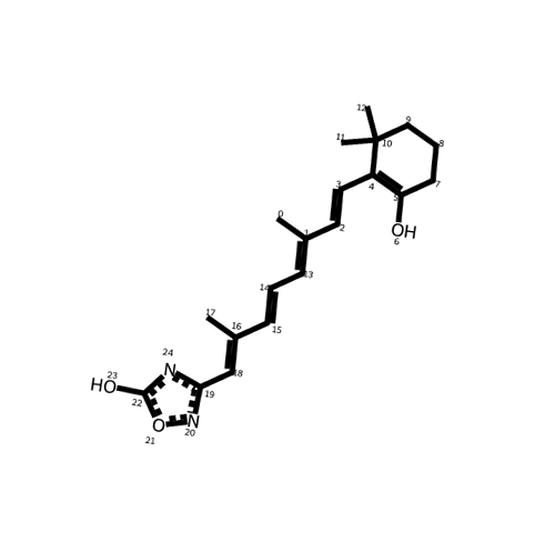 CC(/C=C/C1=C(O)CCCC1(C)C)=C\C=C\C(C)=C\c1noc(O)n1